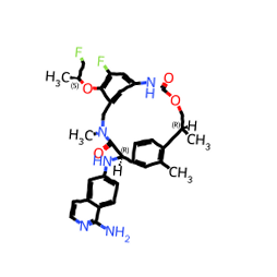 Cc1cc2ccc1[C@@H](C)COC(=O)Nc1cc(F)c(O[C@@H](C)CF)c(c1)CN(C)C(=O)[C@@H]2Nc1ccc2c(N)nccc2c1